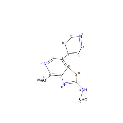 COc1ncc(C2=CC=NCC2)c2sc(NC=O)nc12